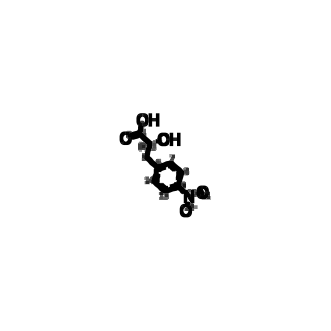 O=C(O)[C@H](O)Cc1ccc([N+](=O)[O-])cc1